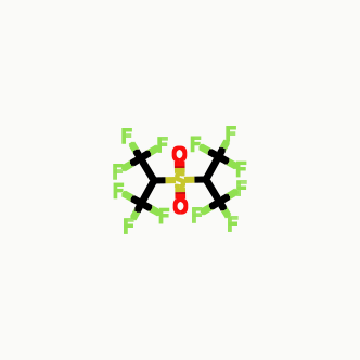 O=S(=O)(C(C(F)(F)F)C(F)(F)F)C(C(F)(F)F)C(F)(F)F